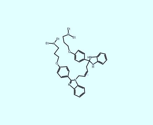 CCN(CC)CCCOc1ccc(-c2nc3ccccc3n2C/C=C\CC2(c3ccc(OCCCN(CC)CC)cc3)Nc3ccccc3N2)cc1